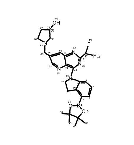 CC1(C)OB(c2cccc3c2CCN3c2nc(C(F)F)nc3cc(CN4CC[C@@H](O)C4)cnc23)OC1(C)C